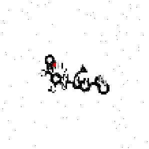 COc1cc(C(=O)N2CC3CCC2[C@@H]3N)cc2nc(-c3cc4ccc(-c5cnn6c5CCCC6)nc4n3CC3CC3)n(C)c12